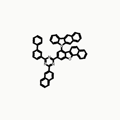 c1ccc(-c2cccc(-c3nc(-c4ccc5ccccc5c4)nc(-c4cc(-n5c6ccccc6c6cc7ccccc7cc65)c5c(c4)oc4c6ccccc6ccc45)n3)c2)cc1